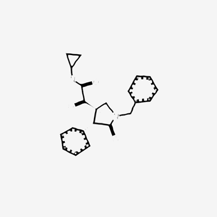 O=C(NC1CC1)C(=O)[C@H]1CN(Cc2ccccc2)C(=O)[C@@H]1c1ccccc1